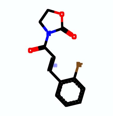 O=C(/C=C/c1ccccc1Br)N1CCOC1=O